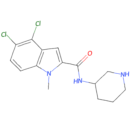 Cn1c(C(=O)NC2CCCNC2)cc2c(Cl)c(Cl)ccc21